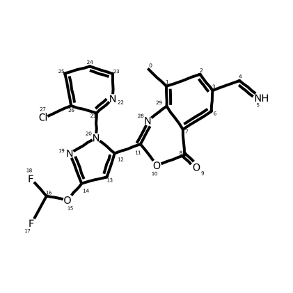 Cc1cc(C=N)cc2c(=O)oc(-c3cc(OC(F)F)nn3-c3ncccc3Cl)nc12